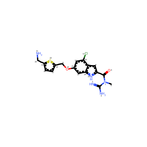 CN(C(=N)N)C(=O)c1cc2c(Cl)cc(OCc3ccc(CN)s3)cc2[nH]1